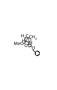 CO[C@@H]1O[C@]2(C[C@@H](OCc3ccccc3)C2)[C@H]2OC(C)(C)O[C@@H]12